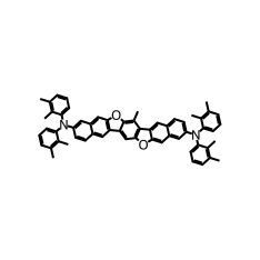 Cc1cccc(N(c2ccc3cc4c(cc3c2)oc2c(C)c3c(cc24)oc2cc4cc(N(c5cccc(C)c5C)c5cccc(C)c5C)ccc4cc23)c2cccc(C)c2C)c1C